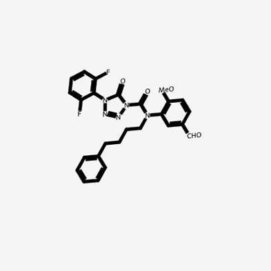 COc1ccc(C=O)cc1N(CCCCc1ccccc1)C(=O)n1nnn(-c2c(F)cccc2F)c1=O